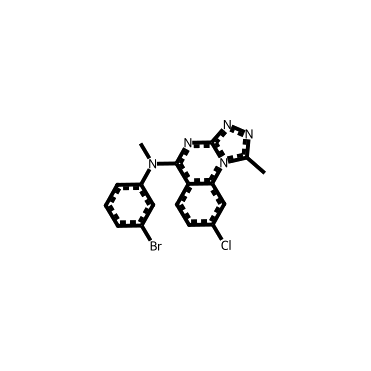 Cc1nnc2nc(N(C)c3cccc(Br)c3)c3ccc(Cl)cc3n12